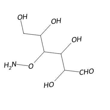 NOC(C(O)CO)C(O)C(O)C=O